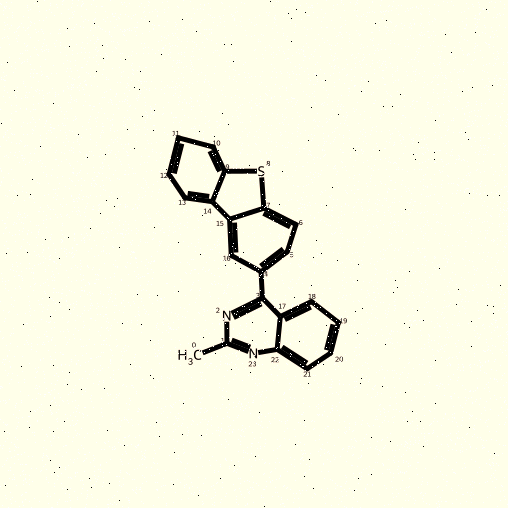 Cc1nc(-c2ccc3sc4ccccc4c3c2)c2ccccc2n1